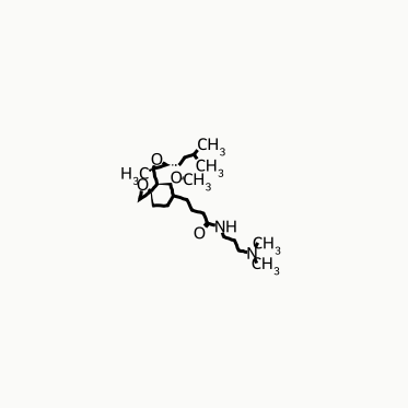 CO[C@@H]1C(CCCC(=O)NCCCN(C)C)CC[C@]2(CO2)[C@H]1[C@]1(C)O[C@@H]1CCC(C)C